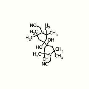 CC1(C)CC(O)(C2(O)CC(C)(C)N(CC#N)C(C)(C)C2)CC(C)(C)N1CC#N